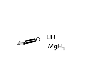 [LiH].[MgH2].[O]=[Zn]